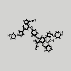 N#Cc1cnn2cc(-c3cnn([C@H]4CCNC4)c3)cc(Sc3ccc(-[n+]4cc(C#N)c5c(Sc6ccccc6CO)cc(-c6cnn([C@H]7CCCNC7)c6)cn54)cn3)c12